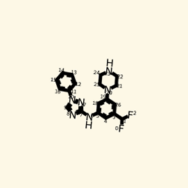 FC(F)c1cc(Nc2ncn(-c3ccccc3)n2)cc(N2CCNCC2)c1